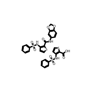 O=C(Nc1ccc2c(c1)OCO2)c1sccc1NS(=O)(=O)c1ccccc1.O=C(O)c1sccc1NS(=O)(=O)c1ccccc1